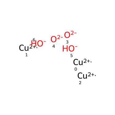 [Cu+2].[Cu+2].[Cu+2].[O-2].[O-2].[OH-].[OH-]